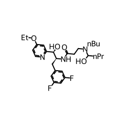 CCCCN(CCC(=O)N[C@@H](Cc1cc(F)cc(F)c1)[C@H](O)c1cc(OCC)ccn1)C(O)CCC